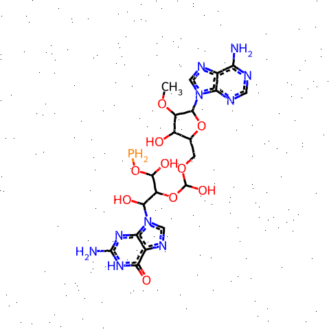 COC1C(O)C(COC(O)OC(C(O)OP)C(O)n2cnc3c(=O)[nH]c(N)nc32)OC1n1cnc2c(N)ncnc21